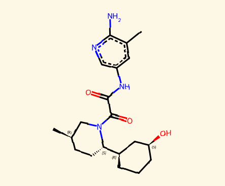 Cc1cc(NC(=O)C(=O)N2C[C@H](C)CC[C@H]2[C@@H]2CCC[C@H](O)C2)cnc1N